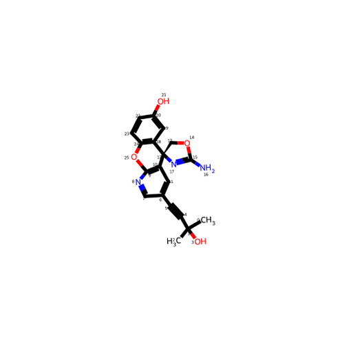 CC(C)(O)C#Cc1cnc2c(c1)[C@]1(COC(N)=N1)c1cc(O)ccc1O2